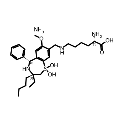 CCCC[C@]1(CC)CS(O)(O)c2cc(CNCCCC[C@H](N)C(=O)O)c(OC)cc2[C@@H](c2ccccc2)N1.N